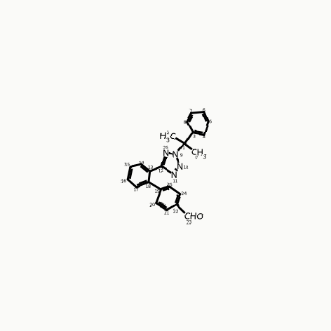 CC(C)(c1ccccc1)n1nnc(-c2ccccc2-c2ccc(C=O)cc2)n1